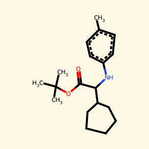 Cc1ccc(NC(C(=O)OC(C)(C)C)C2CCCCC2)cc1